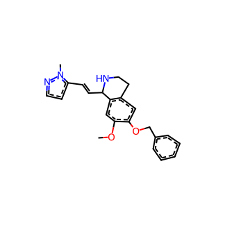 COc1cc2c(cc1OCc1ccccc1)CCNC2/C=C/c1ccnn1C